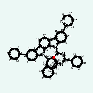 c1ccc(-c2ccc3c(c2)c2ccc4c5cc(-c6ccccn6)ccc5n(-c5nc(-c6ccccc6)nc(-c6ccccc6)n5)c4c2n3-c2ccccc2)cc1